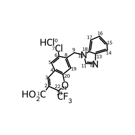 Cl.O=C(O)C1=Cc2cc(Cl)c(Cn3cnc4ccccc43)cc2OC1C(F)(F)F